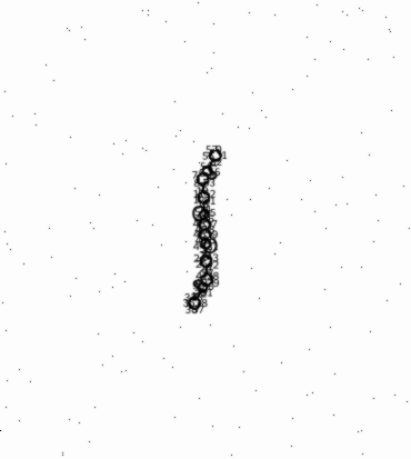 c1ccc(-c2cc3ccc(-c4ccc(-c5cc6cc7cc8oc(-c9ccc(-c%10ccc%11cc(-c%12ccccc%12)sc%11c%10)cc9)cc8cc7cc6o5)cc4)cc3s2)cc1